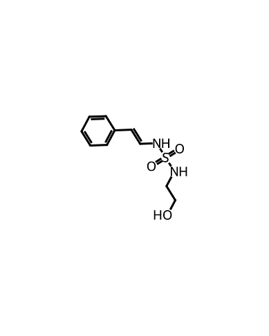 O=S(=O)(NC=Cc1ccccc1)NCCO